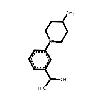 CC(C)c1cccc(N2CCC(N)CC2)c1